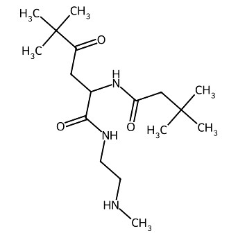 CNCCNC(=O)C(CC(=O)C(C)(C)C)NC(=O)CC(C)(C)C